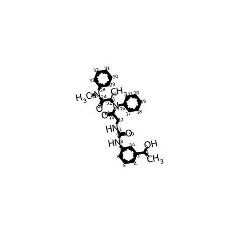 CC(O)c1cccc(NC(=O)NCC(=O)N(c2ccccc2)[C@@H](C)C(=O)N(C)c2ccccc2)c1